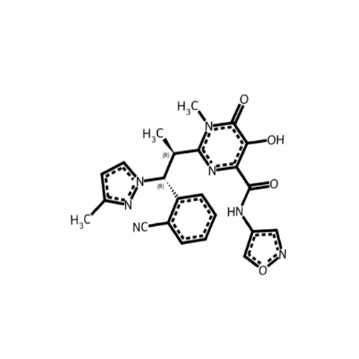 Cc1ccn([C@@H](c2ccccc2C#N)[C@@H](C)c2nc(C(=O)Nc3cnoc3)c(O)c(=O)n2C)n1